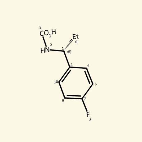 CC[C@@H](NC(=O)O)c1ccc(F)cc1